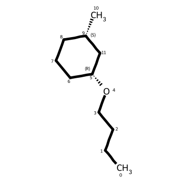 CCCCO[C@@H]1CCC[C@H](C)C1